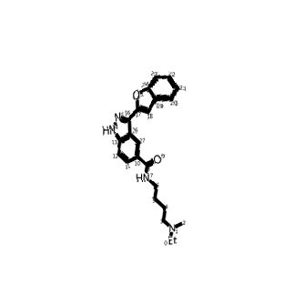 CCN(C)CCCCNC(=O)c1ccc2[nH]nc(-c3cc4ccccc4o3)c2c1